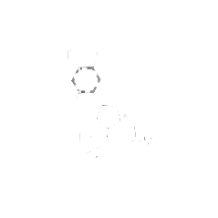 COC[C@H]1O[C@@H](c2cc(C)c(F)cc2F)C[C@@H]1OP(=O)(O)OC(C)C